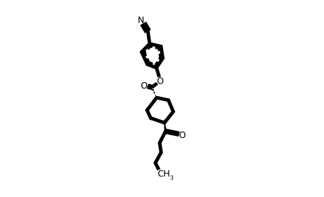 CCCCC(=O)[C@H]1CC[C@H](C(=O)Oc2ccc(C#N)cc2)CC1